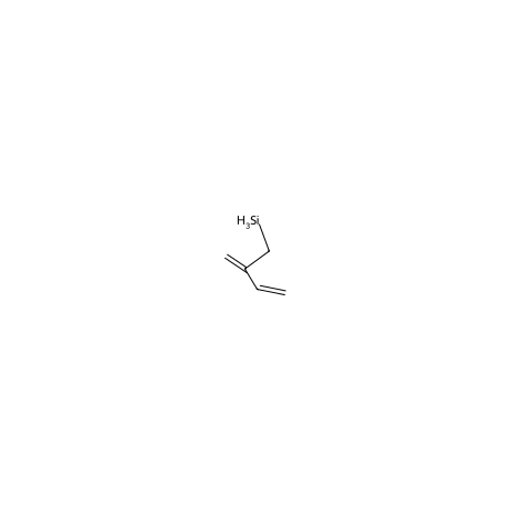 C=CC(=C)C[SiH3]